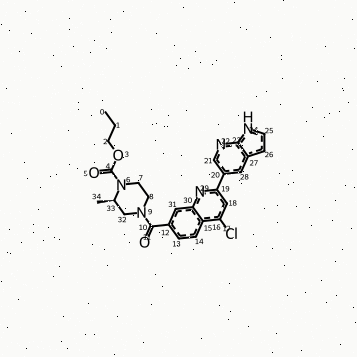 CCCOC(=O)N1CCN(C(=O)c2ccc3c(Cl)cc(-c4cnc5[nH]ccc5c4)nc3c2)C[C@H]1C